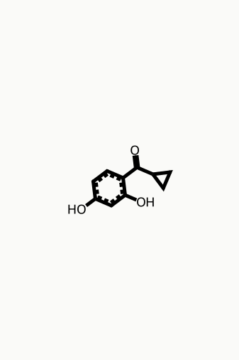 O=C(c1ccc(O)cc1O)C1CC1